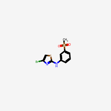 CS(=O)(=O)c1cccc(Nc2nc(Br)cs2)c1